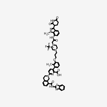 Cc1c(OCCCN2CCN(CC(=O)Nc3cccc4c(C5CCC(=O)NC5=O)nn(C)c34)[C@H](C(F)(F)F)C2)cccc1-c1ccc(N2CCc3cccc(C(=O)Nc4nc5ccccc5s4)c3C2)nc1C(=O)O